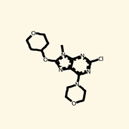 Cn1c(OC2CCOCC2)nc2c(N3CCOCC3)nc(Cl)nc21